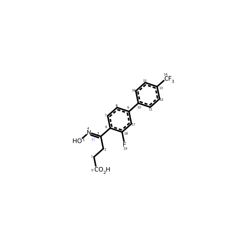 O=C(O)CC/C(=N\O)c1ccc(-c2ccc(C(F)(F)F)cc2)cc1F